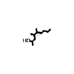 CCC/C=C(\C)C(C)CC(C)O